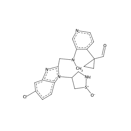 CN(Cc1nc2cc(Cl)ccc2n1C1CN[S+]([O-])C1)c1cnccc1C1(C=O)CC1